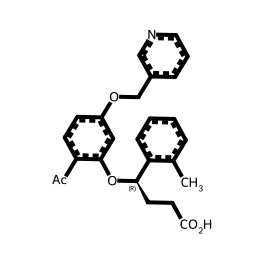 CC(=O)c1ccc(OCc2cccnc2)cc1O[C@H](CCC(=O)O)c1ccccc1C